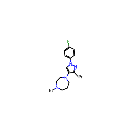 CCN1CCCN(c2cn(-c3ccc(F)cc3)nc2C(C)C)CC1